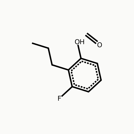 C=O.CCCc1c(O)cccc1F